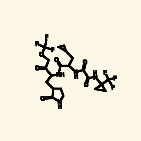 O=C(NC(CC1CC1)C(=O)NC(CC1CCNC1=O)C(=O)COC(F)(F)F)C(=O)NC1(C(F)(F)F)CC1